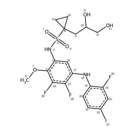 COc1c(NS(=O)(=O)C2(CC(O)CO)CC2)cc(Nc2ccc(I)cc2F)c(F)c1F